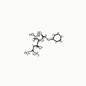 CC(C)CC(=O)C(OC(=O)COC1CCCCC1)S(=O)(=O)O